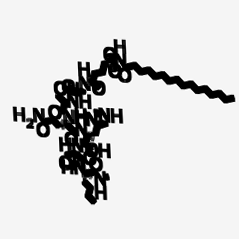 CCCCCCCCCCCCCCCC(=O)NS(=O)(=O)CCCC(=O)NCC(=O)NC(CO)C(=O)N[C@@H](CCC(N)=O)C(=O)N[C@@H](Cc1c[nH]cn1)C(O)NC(CO)C(=O)N[C@@H](CCCC)C(=O)NC